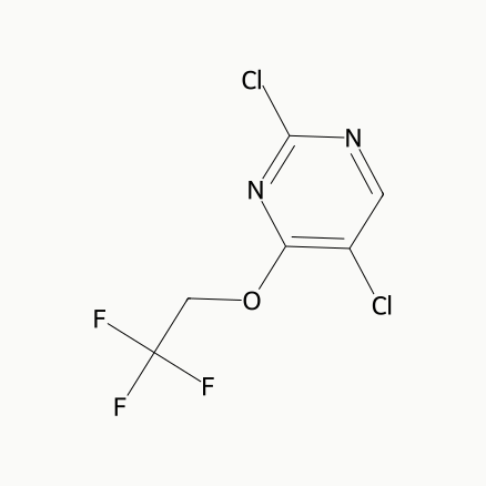 FC(F)(F)COc1nc(Cl)ncc1Cl